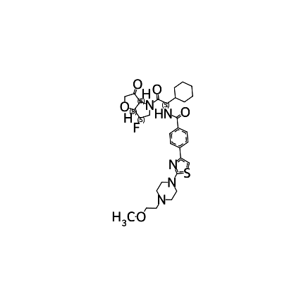 COCCN1CCN(c2nc(-c3ccc(C(=O)N[C@H](C(=O)N4C[C@H](F)[C@H]5OCC(=O)[C@H]54)C4CCCCC4)cc3)cs2)CC1